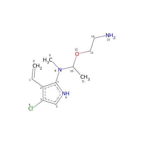 C=Cc1c(Cl)c[nH]c1N(C)C(C)OCCN